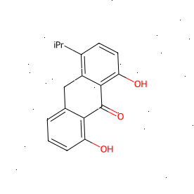 CC(C)c1ccc(O)c2c1Cc1cccc(O)c1C2=O